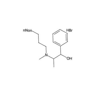 Br.CCCCCCCCCCCCN(C)C(C)C(O)c1ccccc1